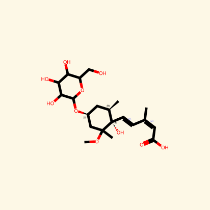 COC1(C)C[C@@H](OC2OC(CO)C(O)C(O)C2O)C[C@@H](C)[C@@]1(O)/C=C/C(C)=C\C(=O)O